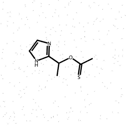 CC(=S)OC(C)c1ncc[nH]1